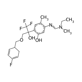 CCN(C)/C=N/c1cc(O)c(C(O)(COCC2C=CC(F)=CC2)C(F)(F)F)cc1C